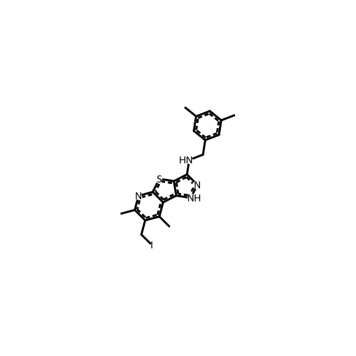 Cc1cc(C)cc(CNc2n[nH]c3c2sc2nc(C)c(CI)c(C)c23)c1